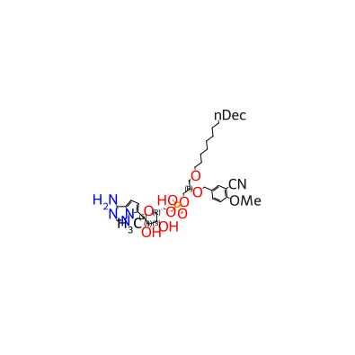 CCCCCCCCCCCCCCCCCCOC[C@H](COP(=O)(O)OC[C@H]1O[C@@](C)(c2ccc3c(N)ncnn23)[C@H](O)[C@@H]1O)OCc1ccc(OC)c(C#N)c1